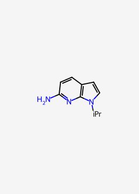 CC(C)n1ccc2ccc(N)nc21